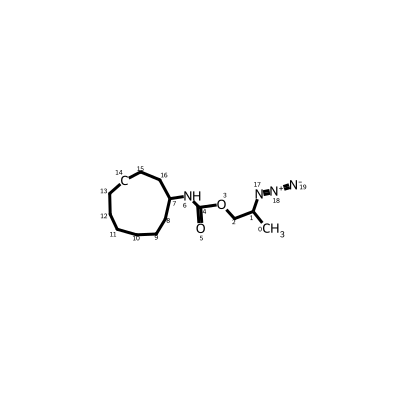 CC(COC(=O)NC1CCCCCCCCC1)N=[N+]=[N-]